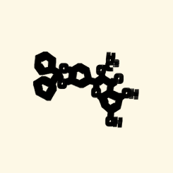 COc1c(-c2ccc3c(c2)OC(c2ccccc2)(c2ccccc2)O3)oc2cc(O)cc(O)c2c1=O